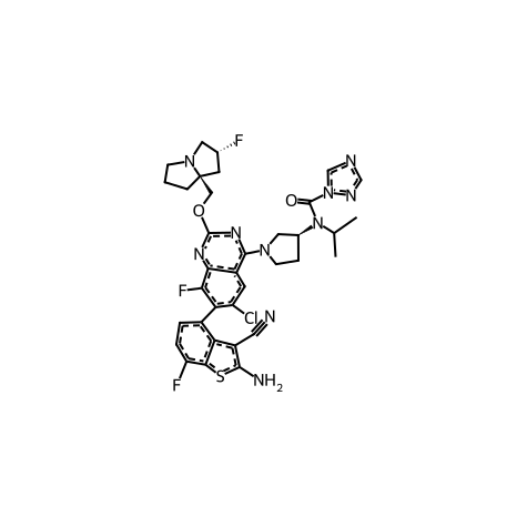 CC(C)N(C(=O)n1cncn1)[C@H]1CCN(c2nc(OC[C@@]34CCCN3C[C@H](F)C4)nc3c(F)c(-c4ccc(F)c5sc(N)c(C#N)c45)c(Cl)cc23)C1